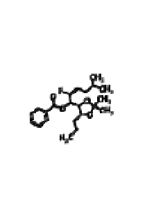 CCC[C@@H]1OC(C)(C)O[C@@H]1C(OC(=O)c1ccccc1)/C(F)=C\CC(C)C